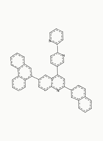 c1ccc(-c2ccc(-c3cc(-c4ccc5ccccc5c4)nc4ccc(-c5cc6ccccc6c6ccccc56)cc34)cn2)nc1